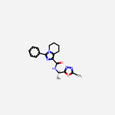 Cc1nnc([C@@H](NC(=O)c2nc(-c3ccccc3)n3c2CCCC3)C(C)(C)C)o1